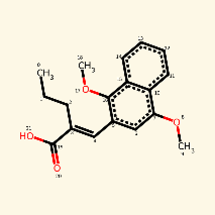 CCCC(=Cc1cc(OC)c2ccccc2c1OC)C(=O)O